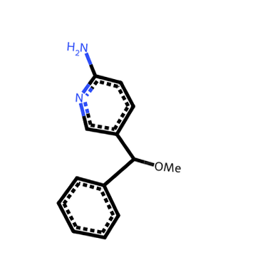 COC(c1ccccc1)c1ccc(N)nc1